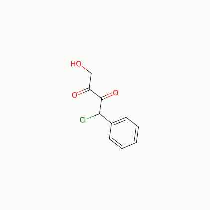 O=C(CO)C(=O)C(Cl)c1ccccc1